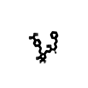 C[C@@H](CCCc1ccccc1)[C@H](O)C=CC1CC(F)(F)C(=O)N1CCc1ccc(C(=O)O)cc1